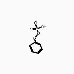 O=P(O)(Cl)OOc1ccccc1